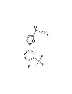 CC(=O)c1ccc(-c2ccc(F)c(C(F)(F)F)c2)o1